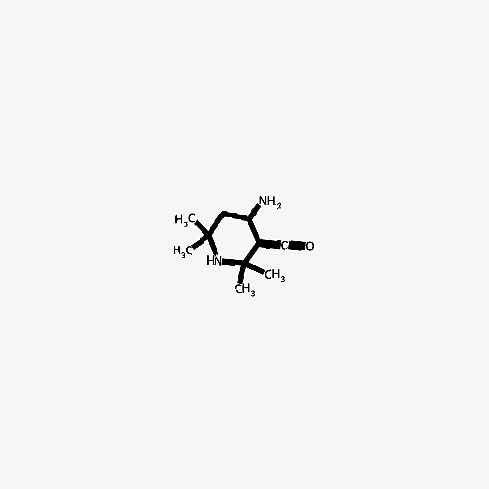 CC1(C)CC(N)C(=C=O)C(C)(C)N1